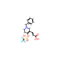 O=C(O)/C=C/C1=C(OS(=O)(=O)C(F)(F)F)CCN(Cc2ccccc2)C1